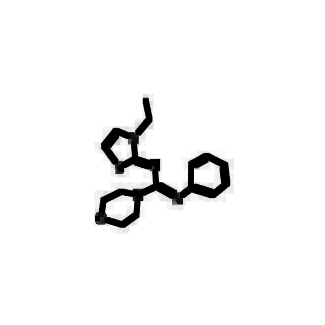 CCn1ccsc1=NC(=Nc1ccccc1)N1CCOCC1